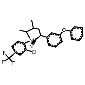 CC(CC(C#N)c1cccc(Oc2ccccc2)c1)C(C)Nc1ccc(C(F)(F)F)cc1Cl